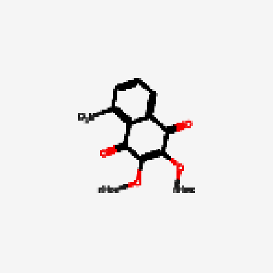 CCCCCCOC1=C(OCCCCCC)C(=O)c2c(cccc2[N+](=O)[O-])C1=O